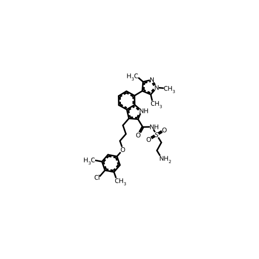 Cc1cc(OCCCc2c(C(=O)NS(=O)(=O)CCN)[nH]c3c(-c4c(C)nn(C)c4C)cccc23)cc(C)c1Cl